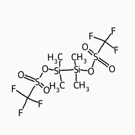 C[Si](C)(OS(=O)(=O)C(F)(F)F)[Si](C)(C)OS(=O)(=O)C(F)(F)F